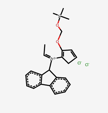 C[CH]=[Zr+2]([C]1=C(OCO[Si](C)(C)C)C=CC1)[CH]1c2ccccc2-c2ccccc21.[Cl-].[Cl-]